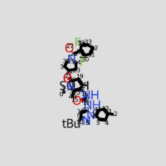 CS(=O)(=O)O.Cc1ccc(-n2nc(C(C)(C)C)cc2NC(=O)Nc2ccc(OC3CCN(C(=O)c4c(F)cccc4F)CC3)nc2C)cc1